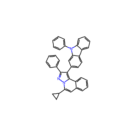 c1ccc(-c2nn3c(C4CC4)cc4ccccc4c3c2-c2ccc3c4ccccc4n(-c4ccccc4)c3c2)cc1